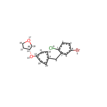 Clc1ccc(Br)cc1Cc1ccc(O[C@@H]2CCOC2)cc1